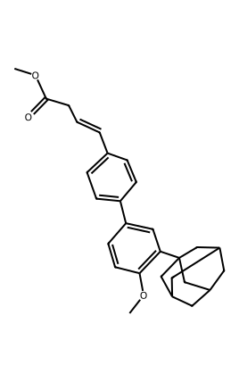 COC(=O)C/C=C/c1ccc(-c2ccc(OC)c(C34CC5CC(CC(C5)C3)C4)c2)cc1